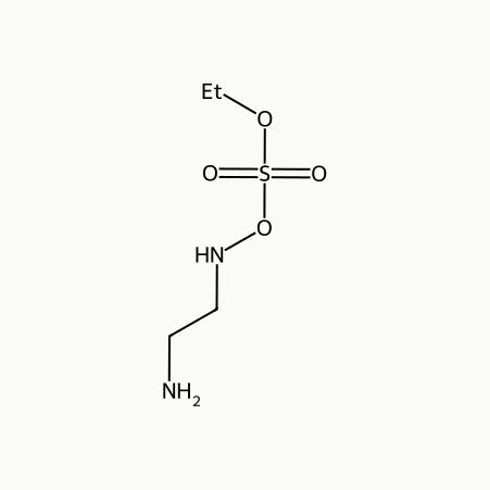 CCOS(=O)(=O)ONCCN